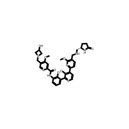 COc1cc(C(=O)Nc2cccc(-c3nccc(-c4ccc(CNC[C@@H]5CCC(=O)N5)c(OC)n4)c3Cl)c2Cl)ncc1CN1CC(O)C1